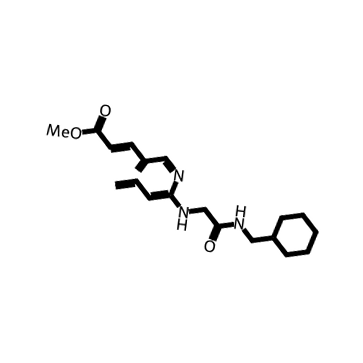 C=C/C=C(\N=C/C(=C)/C=C/C(=O)OC)NCC(=O)NCC1CCCCC1